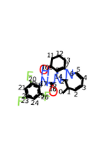 CC1C=CC=CN2C3=C(C(=O)CCC3)N(C(=O)Nc3c(F)cc(F)cc3F)C12